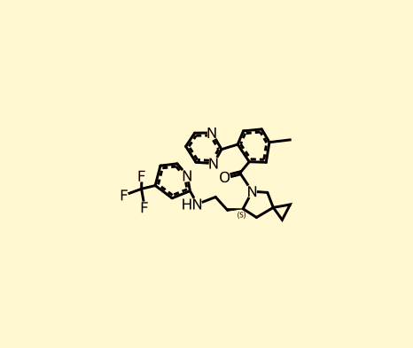 Cc1ccc(-c2ncccn2)c(C(=O)N2CC3(CC3)C[C@H]2CCNc2cc(C(F)(F)F)ccn2)c1